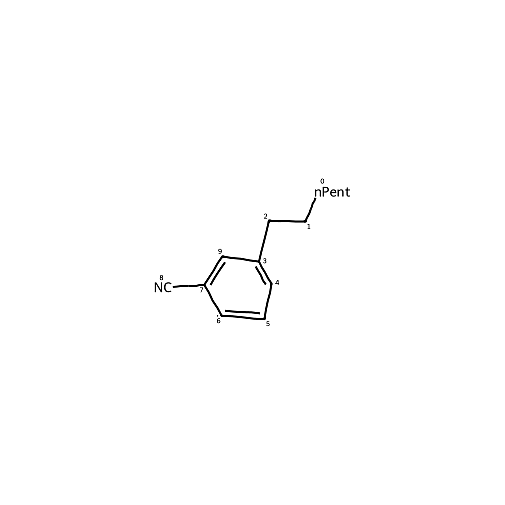 CCCCCCCc1cc[c]c(C#N)c1